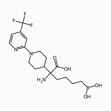 NC(CCCCB(O)O)(C(=O)O)C1CCN(c2cc(C(F)(F)F)ccn2)CC1